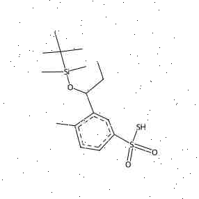 CCC(O[Si](C)(C)C(C)(C)C)c1cc(S(=O)(=O)S)ccc1C